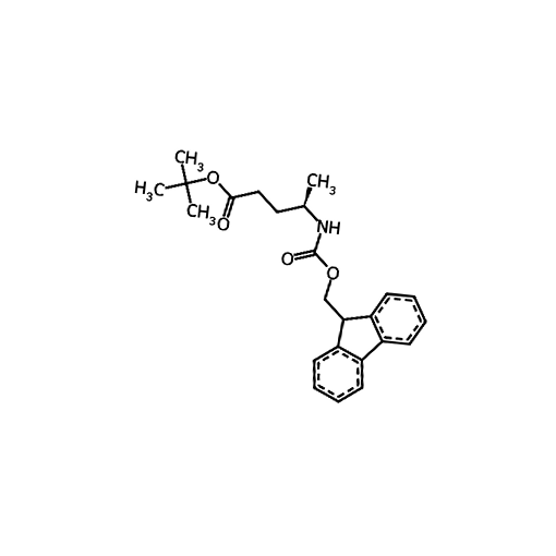 C[C@H](CCC(=O)OC(C)(C)C)NC(=O)OCC1c2ccccc2-c2ccccc21